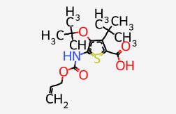 C=CCOC(=O)Nc1sc(C(=O)O)c(C(C)(C)C)c1OC(C)(C)C